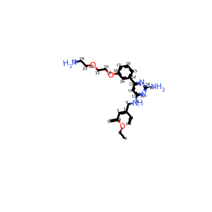 C=C/C(=C\C(=C)OCC)CNc1cc(-c2cccc(OCCOCCN)c2)nc(N)n1